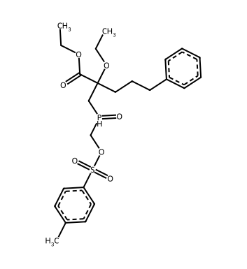 CCOC(=O)C(CCCc1ccccc1)(C[PH](=O)COS(=O)(=O)c1ccc(C)cc1)OCC